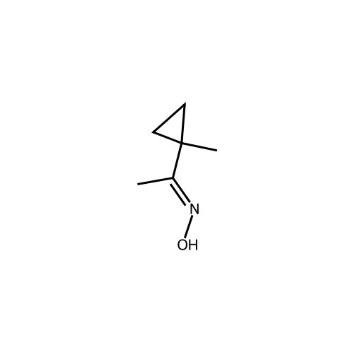 CC(=NO)C1(C)CC1